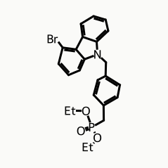 CCOP(=O)(Cc1ccc(Cn2c3ccccc3c3c(Br)cccc32)cc1)OCC